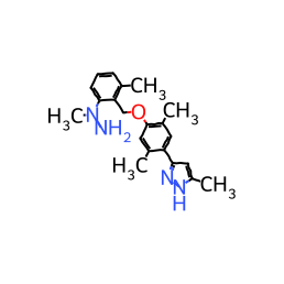 Cc1cc(-c2cc(C)c(OCc3c(C)cccc3N(C)N)cc2C)n[nH]1